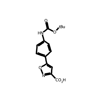 CC(C)(C)OC(=O)Nc1ccc(-c2cc(C(=O)O)no2)cc1